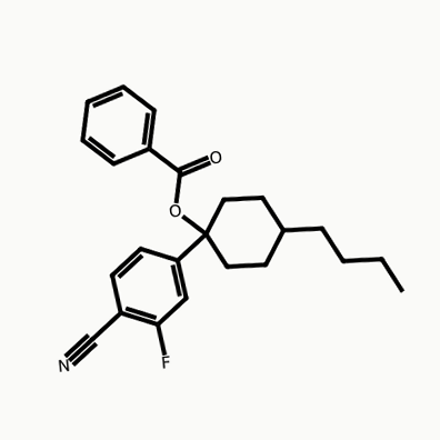 CCCCC1CCC(OC(=O)c2ccccc2)(c2ccc(C#N)c(F)c2)CC1